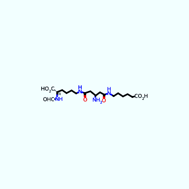 NC(CC(=O)NCCCCCC(=O)O)CC(=O)NCCCC[C@H](NC=O)C(=O)O